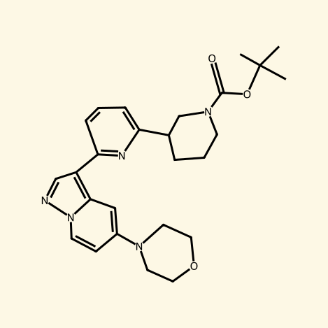 CC(C)(C)OC(=O)N1CCCC(c2cccc(-c3cnn4ccc(N5CCOCC5)cc34)n2)C1